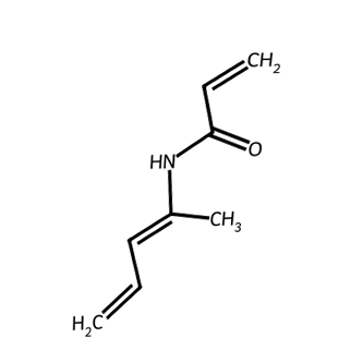 C=C/C=C(\C)NC(=O)C=C